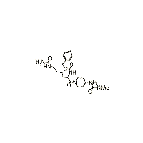 CNC(=O)NC1CCN(C(=O)C(CCCCNC(N)=O)NC(=O)OCc2ccccc2)CC1